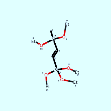 CCO[Si](C)(C=C[Si](OCC)(OCC)OCC)OCC